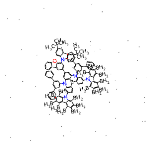 Bc1c(B)c(B)c2c(c1B)c1c(B)c(B)c(B)c(B)c1n2-c1ccc2c(c1)N(c1cc(-c3ccccc3)cc(-c3ccccc3)c1)c1cc(-c3cc(-n4c5ccc(C(C)(C)C)cc5c5cc(C(C)(C)C)ccc54)c4oc5ccccc5c4c3)cc3c1B2c1ccc(-n2c4c(B)c(B)c(B)c(B)c4c4c(B)c(B)c(B)c(B)c42)cc1N3c1cc(-c2ccccc2)cc(-c2ccccc2)c1